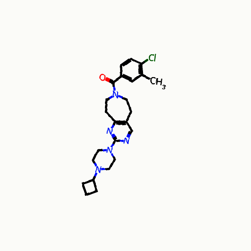 Cc1cc(C(=O)N2CCc3cnc(N4CCN(C5CCC5)CC4)nc3CC2)ccc1Cl